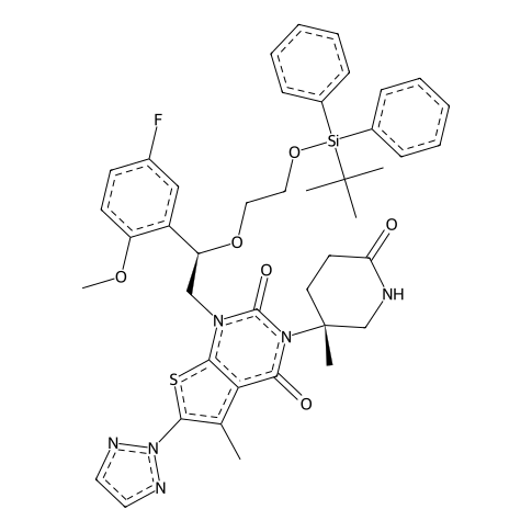 COc1ccc(F)cc1[C@H](Cn1c(=O)n([C@]2(C)CCC(=O)NC2)c(=O)c2c(C)c(-n3nccn3)sc21)OCCO[Si](c1ccccc1)(c1ccccc1)C(C)(C)C